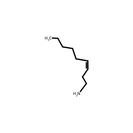 CCCCC/C=C\CCN